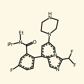 CCN(C(=O)c1cc(F)ccc1-c1cc(N2CCNCC2)cn2c(C(F)F)ncc12)C(C)C